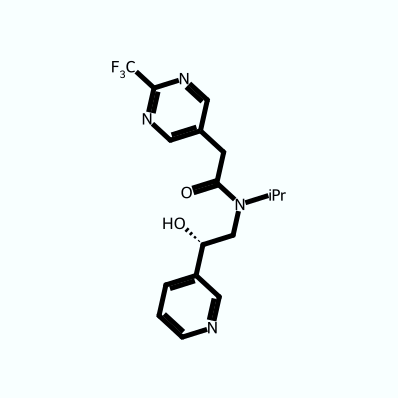 CC(C)N(C[C@@H](O)c1cccnc1)C(=O)Cc1cnc(C(F)(F)F)nc1